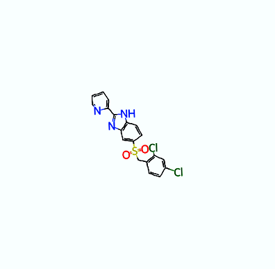 O=S(=O)(Cc1ccc(Cl)cc1Cl)c1ccc2[nH]c(-c3ccccn3)nc2c1